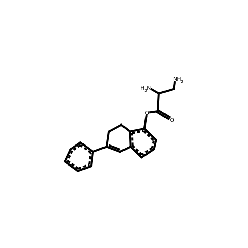 NCC(N)C(=O)Oc1cccc2c1CCC(c1ccccc1)=C2